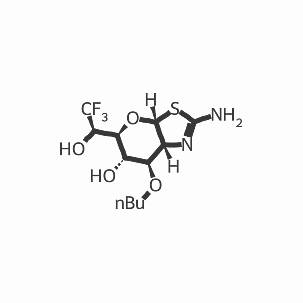 CCCCO[C@H]1[C@H](O)[C@@H]([C@@H](O)C(F)(F)F)O[C@@H]2SC(N)=N[C@H]12